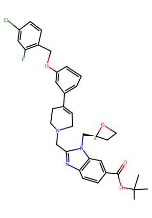 CC(C)(C)OC(=O)c1ccc2nc(CN3CC=C(c4cccc(OCc5ccc(Cl)cc5F)c4)CC3)n(C[C@@H]3CCO3)c2c1